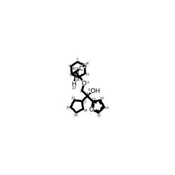 O[C@@](CO[C@H]1CN2CCC1CC2)(c1ccco1)C1CCCC1